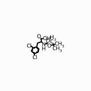 CC(C)(C)OC(=O)NC(Cc1ccc(Cl)cc1Cl)C(=O)O